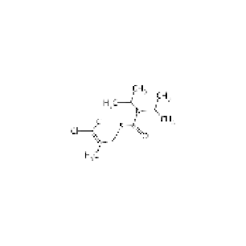 CC(CSC(=O)N(C(C)C)C(C)C)=C(Cl)Cl